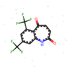 O=c1ccc(=O)c2c(C(F)(F)F)cc(C(F)(F)F)cc2[nH]1